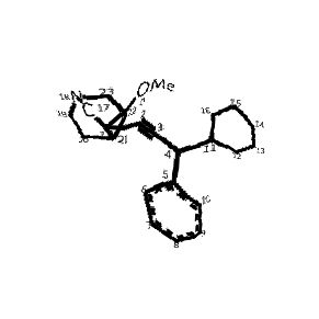 COC1(C#CC(c2ccccc2)C2CCCCC2)CN2CCC1CC2